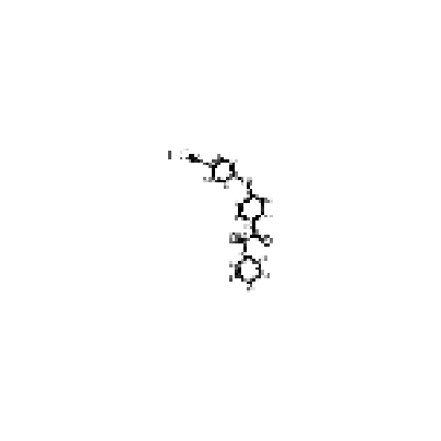 C#Cc1ccc(Oc2ccc(C(=O)C(=O)c3ccccc3)cc2)cc1